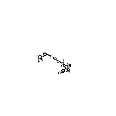 Cc1sc2c(c1C)C(c1ccc(Cl)cc1)=N[C@@H](CC(=O)NCCOCCOCCOCCCc1cccc(SC3CCC(=O)NC3=O)c1)c1nnc(C)n1-2